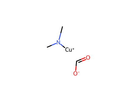 C[N](C)[Cu+].O=C[O-]